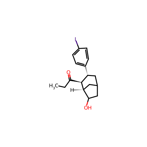 CCC(=O)[C@H]1[C@H](c2ccc(I)cc2)CC2CC(O)[C@@H]1C2